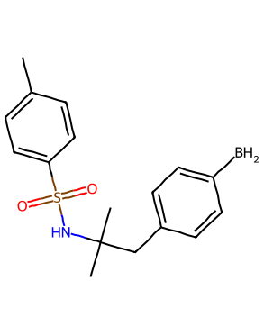 Bc1ccc(CC(C)(C)NS(=O)(=O)c2ccc(C)cc2)cc1